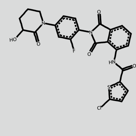 O=C(Nc1cccc2c1C(=O)N(c1ccc(N3CCCC(O)C3=O)cc1F)C2=O)c1ccc(Cl)s1